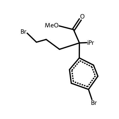 COC(=O)C(CCCBr)(c1ccc(Br)cc1)C(C)C